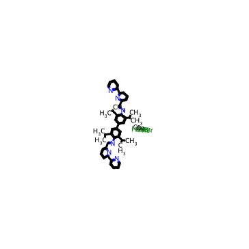 Br.Br.Br.Br.CC(C)c1cc(-c2cc(C(C)C)c(N=Cc3cccc(-c4ccccn4)n3)c(C(C)C)c2)cc(C(C)C)c1N=Cc1cccc(-c2ccccn2)n1.[Co].[Co]